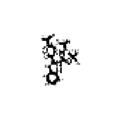 C=C(C)C(=O)[C@H](CC(C)C)NC(=O)[C@H](Cc1ccccc1)NC(=O)OC(C)(C)C